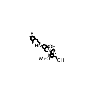 COc1cc(CCO)c2nccc(N3CCC4CC(NCC=Cc5cc(F)ccc5F)CCC4(CO)C3)c2n1